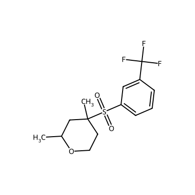 CC1CC(C)(S(=O)(=O)c2cccc(C(F)(F)F)c2)CCO1